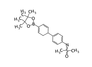 CC1(C)OB(C2=CCC(c3ccc(N=S(C)(C)=O)cc3)C=C2)OC1(C)C